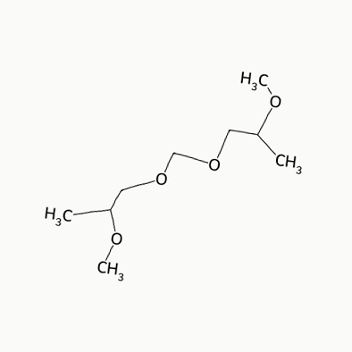 COC(C)COCOCC(C)OC